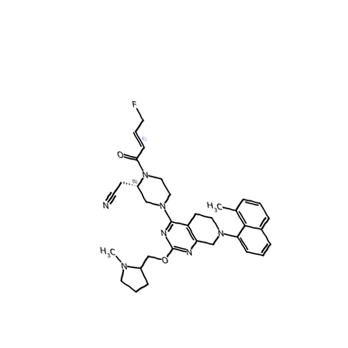 Cc1cccc2cccc(N3CCc4c(nc(OCC5CCCN5C)nc4N4CCN(C(=O)/C=C/CF)[C@@H](CC#N)C4)C3)c12